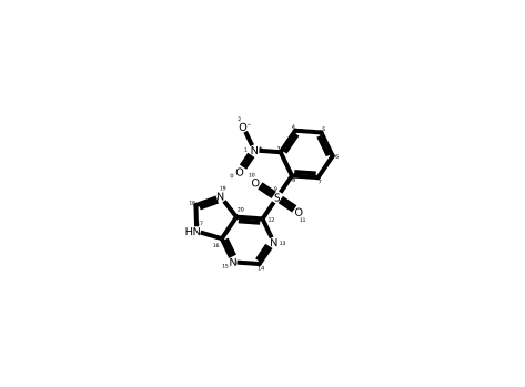 O=[N+]([O-])c1ccccc1S(=O)(=O)c1ncnc2[nH]cnc12